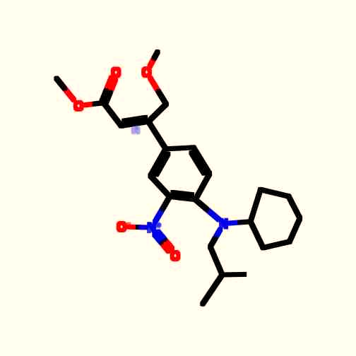 COC/C(=C\C(=O)OC)c1ccc(N(CC(C)C)C2CCCCC2)c([N+](=O)[O-])c1